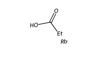 CCC(=O)O.[Rb]